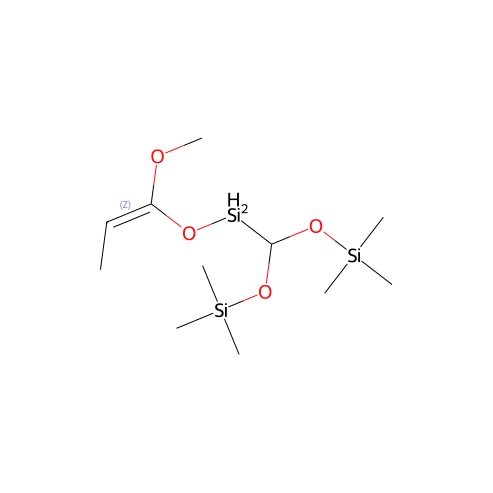 C/C=C(/OC)O[SiH2]C(O[Si](C)(C)C)O[Si](C)(C)C